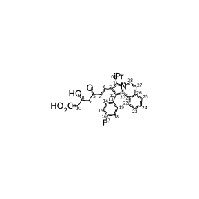 CC(C)c1c(C=CC(=O)CC(O)CC(=O)O)c(-c2ccc(F)cc2)c2c3ccccc3ccn12